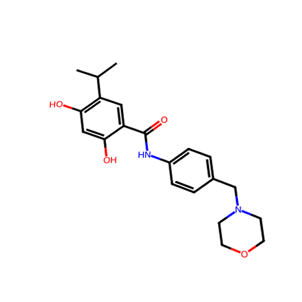 CC(C)c1cc(C(=O)Nc2ccc(CN3CCOCC3)cc2)c(O)cc1O